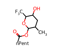 CCCCCC(=O)OC1OC(C(F)(F)F)C(O)CC1C